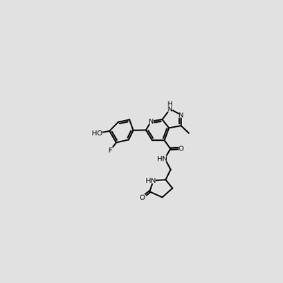 Cc1n[nH]c2nc(-c3ccc(O)c(F)c3)cc(C(=O)NCC3CCC(=O)N3)c12